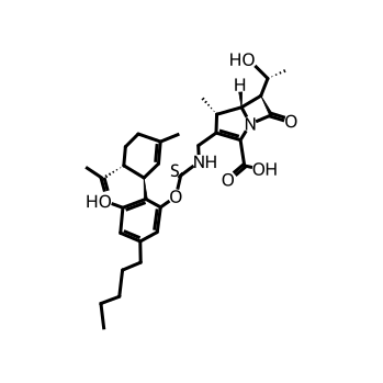 C=C(C)[C@@H]1CCC(C)=C[C@H]1c1c(O)cc(CCCCC)cc1OC(=S)NCC1=C(C(=O)O)N2C(=O)[C@H]([C@@H](C)O)[C@H]2[C@H]1C